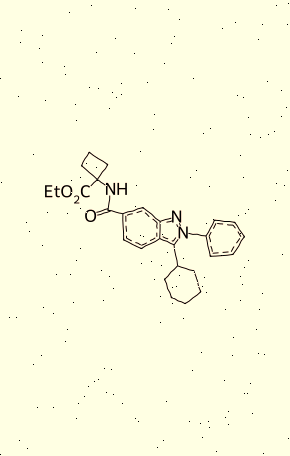 CCOC(=O)C1(NC(=O)c2ccc3c(C4CCCCC4)n(-c4ccccc4)nc3c2)CCC1